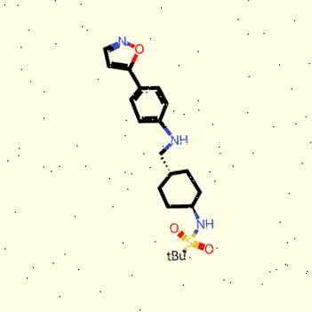 CC(C)(C)S(=O)(=O)N[C@H]1CC[C@H](CNc2ccc(-c3ccno3)cc2)CC1